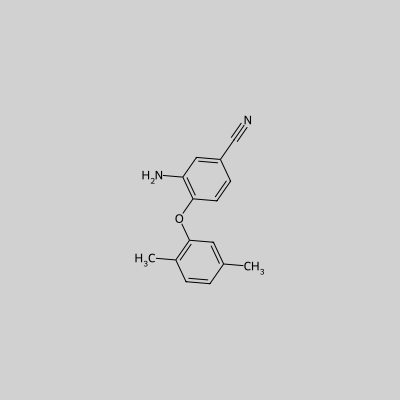 Cc1ccc(C)c(Oc2ccc(C#N)cc2N)c1